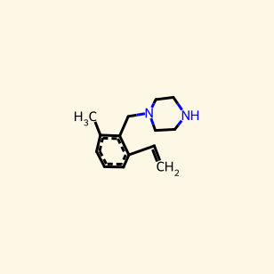 C=Cc1cccc(C)c1CN1CCNCC1